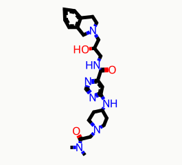 CN(C)C(=O)CN1CCC(Nc2cc(C(=O)NCC(O)CN3CCc4ccccc4C3)ncn2)CC1